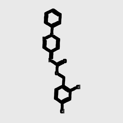 O=C(/N=c1\ccn(-c2ccccc2)nc1)OCc1ccc(Cl)cc1Cl